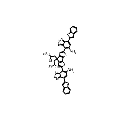 CCCCC(CC)CC1(CC(CC)CCCC)c2cc(-c3c(N)cc(-c4cc5ccccc5s4)c4nsnc34)sc2-c2sc(-c3c(N)cc(-c4cc5ccccc5s4)c4nsnc34)cc21